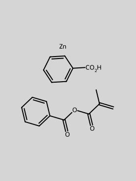 C=C(C)C(=O)OC(=O)c1ccccc1.O=C(O)c1ccccc1.[Zn]